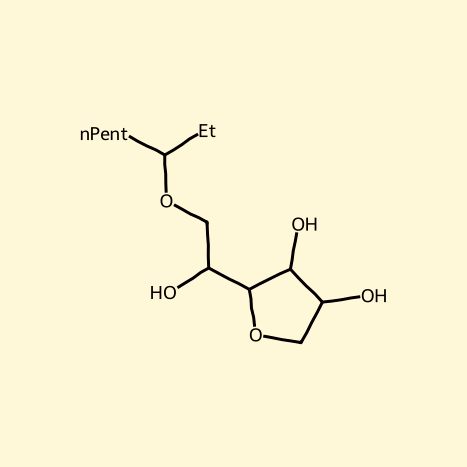 CCCCCC(CC)OCC(O)C1OCC(O)C1O